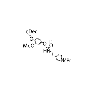 CCCCCCCCCCCCOc1ccc(OCC(=O)NCCc2cc[n+](CCC)cc2)cc1OC.[I-]